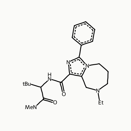 CCN1CCCn2c(-c3ccccc3)nc(C(=O)NC(C(=O)NC)C(C)(C)C)c2C1